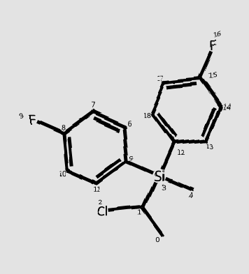 CC(Cl)[Si](C)(c1ccc(F)cc1)c1ccc(F)cc1